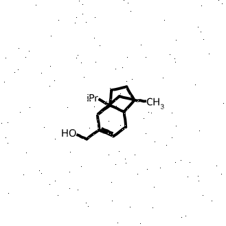 CC(C)C12CCC3(C)CC1C(CO)=CCC32